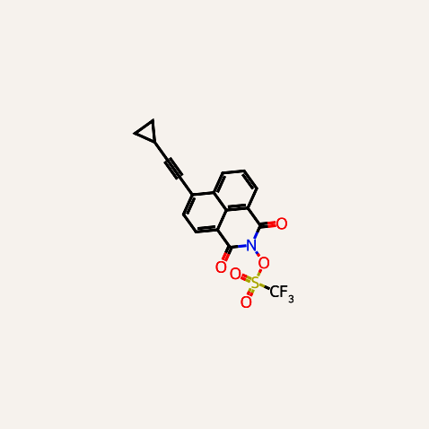 O=C1c2cccc3c(C#CC4CC4)ccc(c23)C(=O)N1OS(=O)(=O)C(F)(F)F